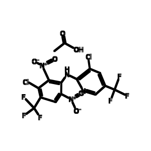 CC(=O)O.O=[N+]([O-])c1cc(C(F)(F)F)c(Cl)c([N+](=O)[O-])c1Nc1ncc(C(F)(F)F)cc1Cl